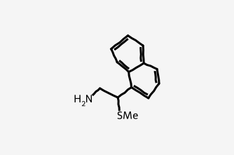 CSC(CN)c1cccc2ccccc12